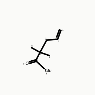 C=CCC(C)(C)C(=O)C(C)(C)C